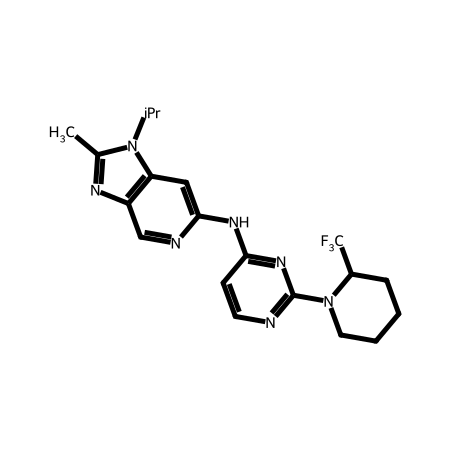 Cc1nc2cnc(Nc3ccnc(N4CCCCC4C(F)(F)F)n3)cc2n1C(C)C